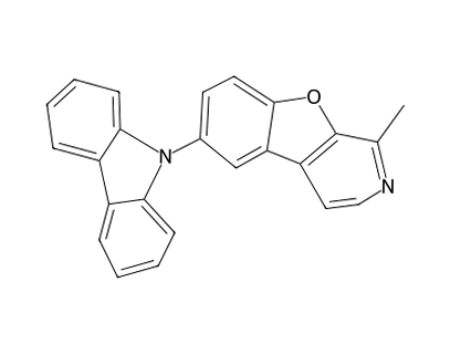 Cc1nccc2c1oc1ccc(-n3c4ccccc4c4ccccc43)cc12